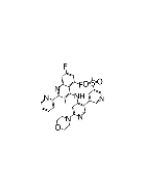 Cc1c(-c2ccccn2)nc2cc(F)cc(F)c2c1Nc1cc(N2CCOCC2)ncc1-c1cncc(S(C)(=O)=O)c1